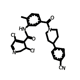 Cc1ccc(C(=O)N2CCC(c3ccc(C#N)cc3)CC2)cc1NC(=O)C1=C(Cl)C=NCC1Cl